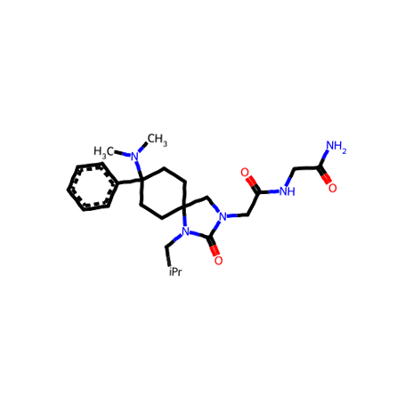 CC(C)CN1C(=O)N(CC(=O)NCC(N)=O)CC12CCC(c1ccccc1)(N(C)C)CC2